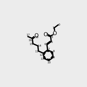 CCOC(=O)C=Cc1ccccc1CCCC(C)=O